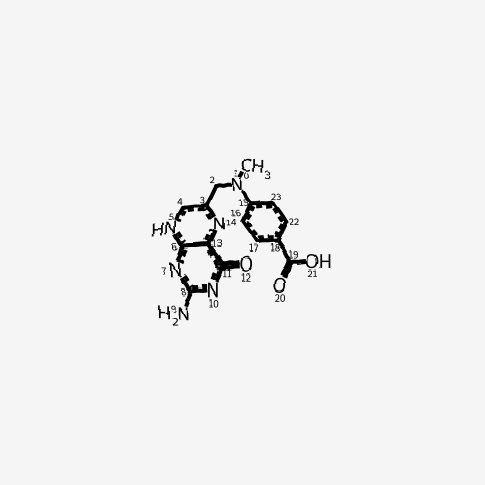 CN(Cc1c[nH]c2nc(N)nc(=O)c-2n1)c1ccc(C(=O)O)cc1